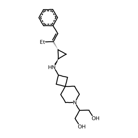 CC/C(=C\c1ccccc1)[C@@H]1C[C@H]1NC1CC2(CCN(C(CO)CO)CC2)C1